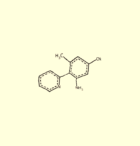 Cc1cc(C#N)cc(N)c1-c1ccccn1